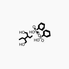 CCC(CO)C(CC)CO.O=S(=O)(O)c1ccccc1.O=S(=O)(O)c1ccccc1